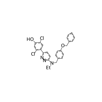 CCN(Cc1ccc(OCc2ccccc2)cc1)c1ccc(-c2cc(Cl)c(O)cc2Cl)nn1